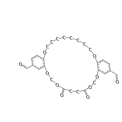 O=Cc1ccc2c(c1)OCOC(=O)CCC(=O)OCOc1cc(C=O)ccc1OCCCCCCCCO2